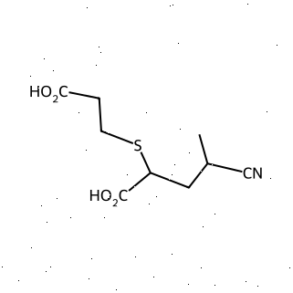 CC(C#N)CC(SCCC(=O)O)C(=O)O